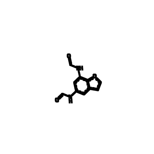 O=CNc1cc(NC=O)c2occc2c1